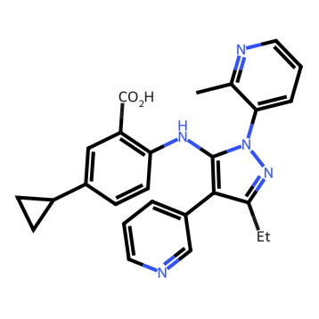 CCc1nn(-c2cccnc2C)c(Nc2ccc(C3CC3)cc2C(=O)O)c1-c1cccnc1